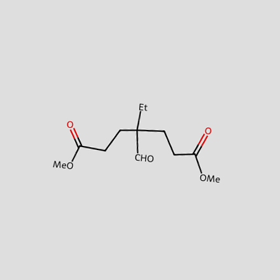 CCC(C=O)(CCC(=O)OC)CCC(=O)OC